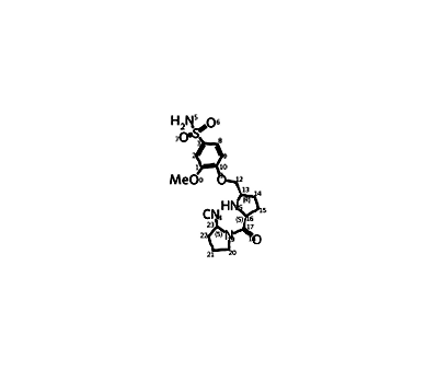 COc1cc(S(N)(=O)=O)ccc1OC[C@H]1CC[C@@H](C(=O)N2CCC[C@H]2C#N)N1